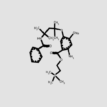 COc1cc(N)c(C(=O)OCCS(C)(C)C)cc1OC(C)(C)CC(C)(C)NC(=O)c1ccccc1